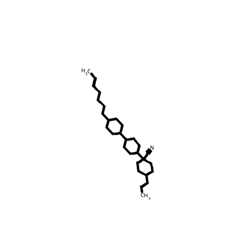 CCCCCCCC1CCC(C2CCC(C3(C#N)CCC(CCC)CC3)CC2)CC1